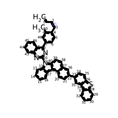 C=C/C=C\c1ccc(-c2nc(-n3c4ccccc4c4c5ccc(-c6ccc7sc8ccccc8c7c6)cc5ccc43)nc3ccccc23)cc1C